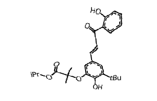 CC(C)OC(=O)C(C)(C)Oc1cc(C=CC(=O)c2ccccc2O)cc(C(C)(C)C)c1O